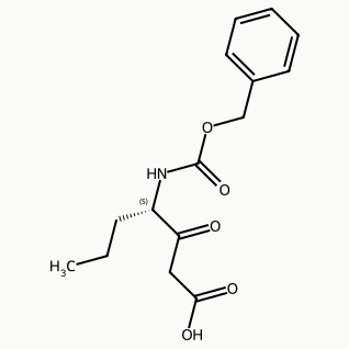 CCC[C@H](NC(=O)OCc1ccccc1)C(=O)CC(=O)O